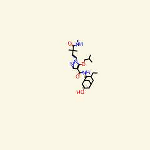 CCC1CC2CC(C[C@@H](O)C2)[C@@H]1NC(=O)c1cnn(/C=C/C(C)(C)C(=O)NC)c1OCC(C)C